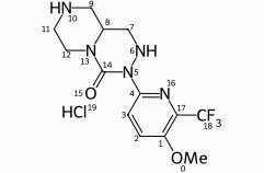 COc1ccc(N2NCC3CNCCN3C2=O)nc1C(F)(F)F.Cl